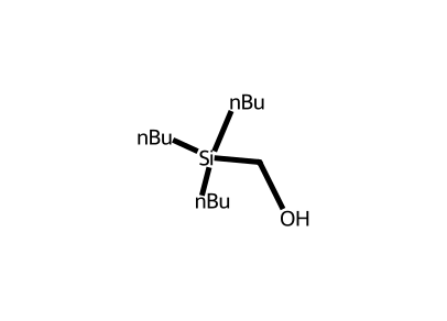 CCCC[Si](CO)(CCCC)CCCC